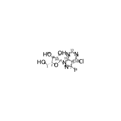 OC[C@H]1O[C@@H](n2nc(I)c3c(Cl)ncnc32)[C@@H](O)[C@H]1O